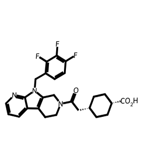 O=C(C[C@H]1CC[C@@H](C(=O)O)CC1)N1CCc2c(n(Cc3ccc(F)c(F)c3F)c3ncccc23)C1